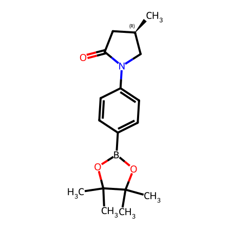 C[C@@H]1CC(=O)N(c2ccc(B3OC(C)(C)C(C)(C)O3)cc2)C1